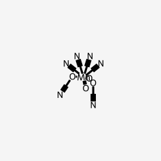 N#C[O][Mn](=[O])(=[O])([C]#N)([C]#N)([C]#N)([C]#N)[O]C#N